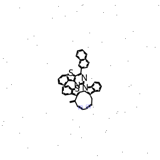 C=C1/C=C\C=C/Cc2c(n(-c3nc(-c4ccc5ccccc5c4)c4sc5ccccc5c4n3)c3ccccc23)-c2sc3ccccc3c21